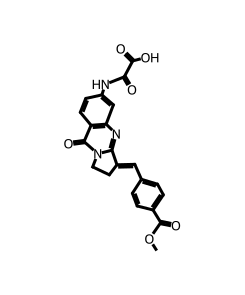 COC(=O)c1ccc(/C=C2\CCn3c2nc2cc(NC(=O)C(=O)O)ccc2c3=O)cc1